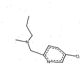 CCCN(C)Cc1ccc(Cl)cn1